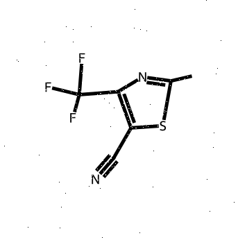 Cc1nc(C(F)(F)F)c(C#N)s1